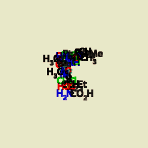 CC1COc2ccccc2N1C(=O)C(Cl)Cl.CCNc1nc(Cl)nc(NC(C)(C)C)n1.CCOC(=O)C(Cl)Cc1cc(-n2nc(C)n(C(F)F)c2=O)c(F)cc1Cl.CCc1cccc(C)c1N(C(=O)CCl)C(C)COC.CP(=O)(O)CCC(N)C(=O)O